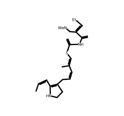 C=C(NC(=C)/C(=C/CC)CNC)S/C=C(C)/C=C\CC1=C(/C=C\C)NCC1